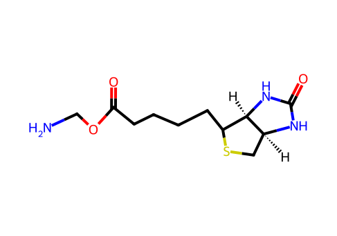 NCOC(=O)CCCCC1SC[C@@H]2NC(=O)N[C@H]12